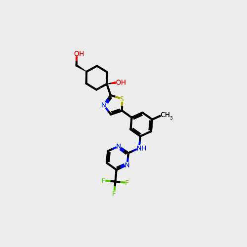 Cc1cc(Nc2nccc(C(F)(F)F)n2)cc(-c2cnc([C@]3(O)CC[C@@H](CO)CC3)s2)c1